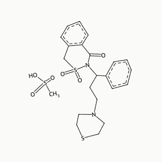 CS(=O)(=O)O.O=C1c2ccccc2CS(=O)(=O)N1C(CCN1CCSCC1)c1ccccc1